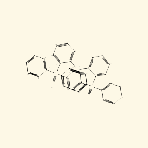 O=P(C1=CCCC=C1)(c1ccccc1)c1ccccc1Oc1ccccc1P(=O)(c1ccccc1)c1ccccc1